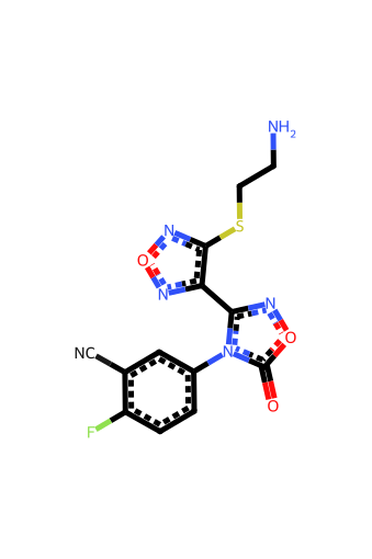 N#Cc1cc(-n2c(-c3nonc3SCCN)noc2=O)ccc1F